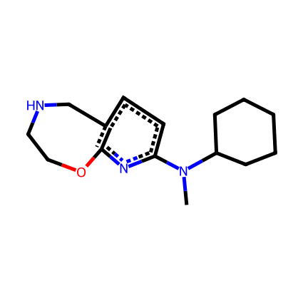 CN(c1ccc2c(n1)OCCNC2)C1CCCCC1